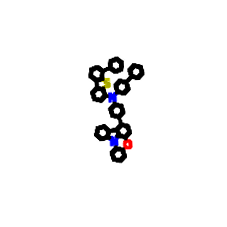 c1ccc(-c2ccc(N(c3ccc(-c4ccc5c6c4c4ccccc4n6-c4ccccc4O5)cc3)c3cccc4c3sc3c(-c5ccccc5)cccc34)cc2)cc1